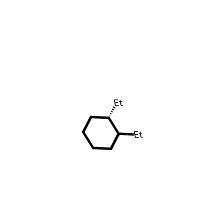 CC[C]1CCCC[C@@H]1CC